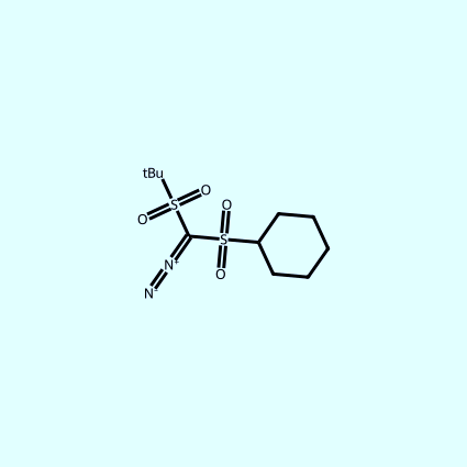 CC(C)(C)S(=O)(=O)C(=[N+]=[N-])S(=O)(=O)C1CCCCC1